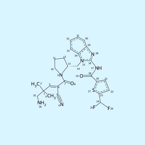 CC(C)(/C=C(\C#N)C(=O)N1CCC[C@@H]1Cn1c(NC(=O)c2ccc(C(F)F)s2)nc2ccccc21)CN